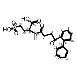 O=C(CCC(=O)c1ccccc1-c1ccccc1)N[C@@H](CCS(=O)(=O)O)C(=O)O